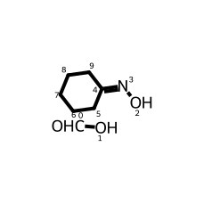 O=CO.ON=C1CCCCC1